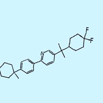 CC1(c2ccc(-c3ccc(C(C)(C)C4CCC(F)(F)CC4)cn3)cc2)CCCCC1